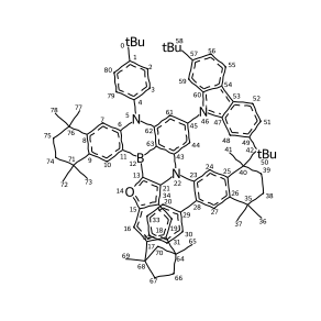 CC(C)(C)c1ccc(N2c3cc4c(cc3B3c5oc6cc7c(cc6c5N(c5cc6c(cc5-c5ccccc5)C(C)(C)CCC6(C)C)c5cc(-n6c8cc(C(C)(C)C)ccc8c8ccc(C(C)(C)C)cc86)cc2c53)C2(C)CCC7(C)C2)C(C)(C)CCC4(C)C)cc1